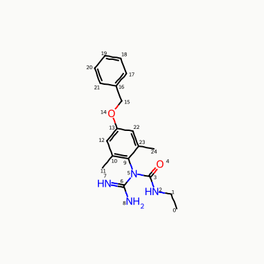 CCNC(=O)N(C(=N)N)c1c(C)cc(OCc2ccccc2)cc1C